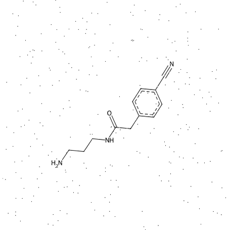 N#Cc1ccc(CC(=O)NCCCN)cc1